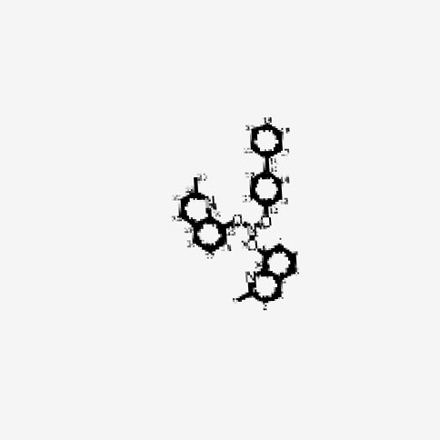 Cc1ccc2cccc(ON(Oc3ccc(-c4ccccc4)cc3)Oc3cccc4ccc(C)nc34)c2n1